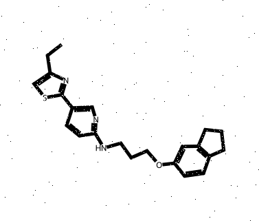 CCc1csc(-c2ccc(NCCCOc3ccc4c(c3)C[CH]C4)nc2)n1